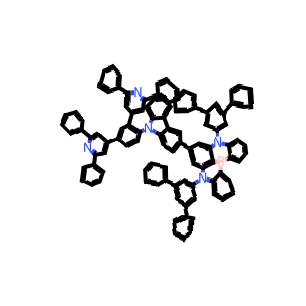 c1ccc(-c2cc(-c3ccccc3)cc(N3c4ccccc4B4c5ccccc5N(c5cc(-c6ccccc6)cc(-c6ccccc6)c5)c5cc(-c6ccc7c(c6)c6ccccc6n7-c6ccc(-c7cc(-c8ccccc8)nc(-c8ccccc8)c7)cc6-c6cc(-c7ccccc7)nc(-c7ccccc7)c6)cc3c54)c2)cc1